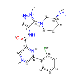 Cn1ncc(NC(=O)c2cncc(-c3ccccc3F)n2)c1N1CCC[C@H](N)C1